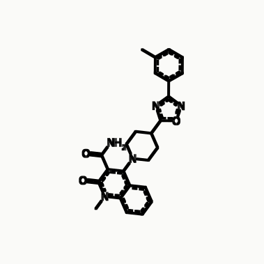 Cc1cccc(-c2noc(C3CCN(c4c(C(N)=O)c(=O)n(C)c5ccccc45)CC3)n2)c1